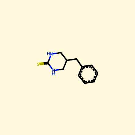 S=C1NCC(Cc2ccccc2)CN1